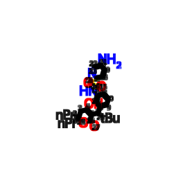 CCCC1(CCC)CC(O)=C(C(c2cccc(NS(=O)(=O)c3ccc(N)cn3)c2)C(C)(C)C)C(=O)O1